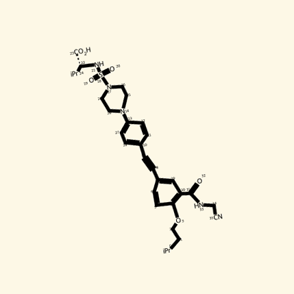 CC(C)CCOc1ccc(C#Cc2ccc(N3CCN(S(=O)(=O)N[C@@H](C(=O)O)C(C)C)CC3)cc2)cc1C(=O)NCC#N